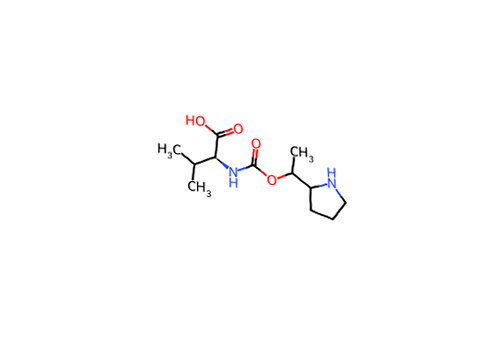 CC(OC(=O)N[C@H](C(=O)O)C(C)C)C1CCCN1